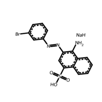 Nc1c(N=Nc2cccc(Br)c2)cc(S(=O)(=O)O)c2ccccc12.[NaH]